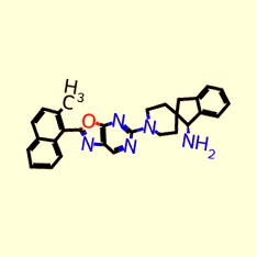 Cc1ccc2ccccc2c1-c1nc2cnc(N3CCC4(CC3)Cc3ccccc3[C@H]4N)nc2o1